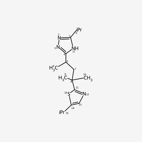 CC(C)c1nnc(C(C)CC(C)(C)c2ncc(C(C)C)s2)[nH]1